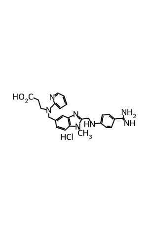 Cl.Cn1c(CNc2ccc(C(=N)N)cc2)nc2cc(CN(CCC(=O)O)c3ccccn3)ccc21